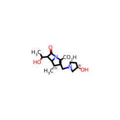 CC(O)C1C(=O)N2C(C(=O)O)=C(CN3CC[C@@H](O)C3)[C@H](C)C12